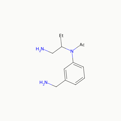 CCC(CN)N(C(C)=O)c1cccc(CN)c1